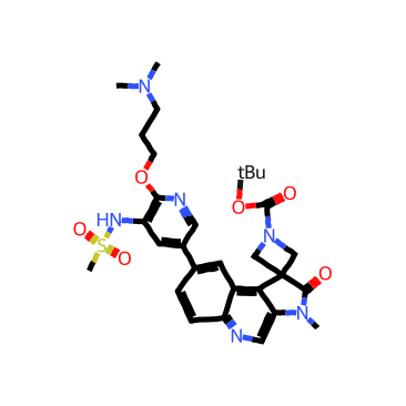 CN(C)CCCOc1ncc(-c2ccc3ncc4c(c3c2)C2(CN(C(=O)OC(C)(C)C)C2)C(=O)N4C)cc1NS(C)(=O)=O